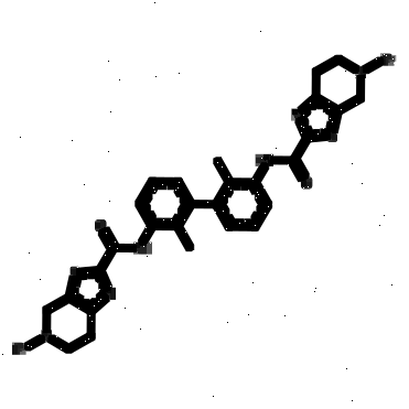 Cc1c(NC(=O)c2nc3c(s2)CN(C(C)C)CC3)cccc1-c1cccc(NC(=O)c2nc3c(s2)CN(C(C)C)CC3)c1C